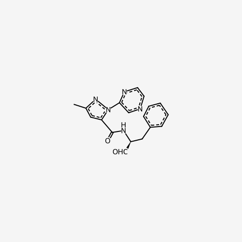 Cc1cc(C(=O)N[C@H](C=O)Cc2ccccc2)n(-c2cnccn2)n1